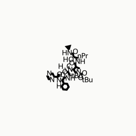 CCC[C@H](NC(=O)C1CN(C(=O)OC(C)(C)C)CC1N(C)C(=O)[C@@H](NC(=O)[C@@H](NC(=O)c1cnccn1)C1CCCCC1)C(C)(C)C)C(O)C(=O)NC1CC1